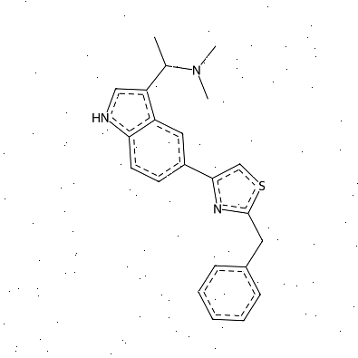 CC(c1c[nH]c2ccc(-c3csc(Cc4ccccc4)n3)cc12)N(C)C